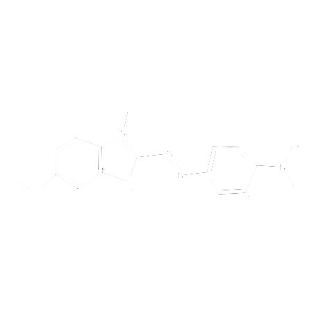 COc1ccc2c(c1)sc(N=Nc1ccc(N(C)C)cc1)[n+]2C